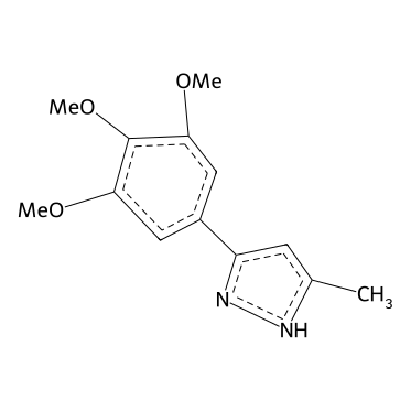 COc1cc(-c2cc(C)[nH]n2)cc(OC)c1OC